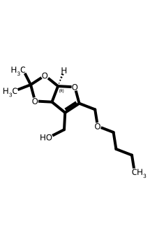 CCCCOCC1=C(CO)C2OC(C)(C)O[C@H]2O1